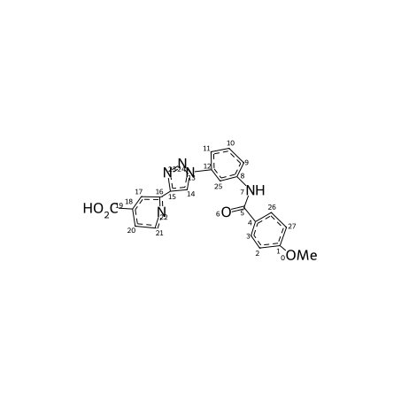 COc1ccc(C(=O)Nc2cccc(-n3cc(-c4cc(C(=O)O)ccn4)nn3)c2)cc1